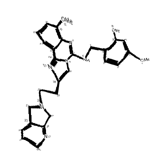 COc1ccc(CNc2nc3c(OC)cccc3c3nc(CCN4Cc5cccnc5C4)cn23)c(OC)c1